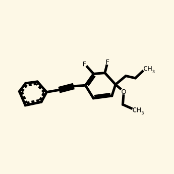 CCCC1(OCC)C=CC(C#Cc2ccccc2)=C(F)C1F